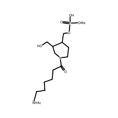 COP(=O)(O)OCC1CCN(C(=O)CCCCCNC(C)=O)CC1CO